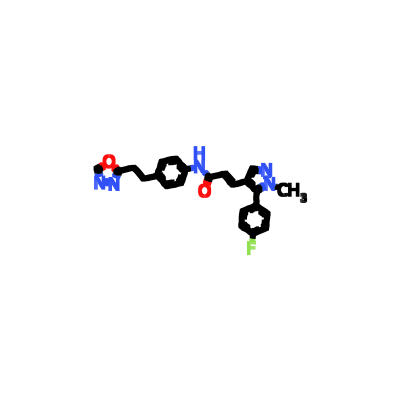 Cn1ncc(C=CC(=O)Nc2ccc(CCc3nnco3)cc2)c1-c1ccc(F)cc1